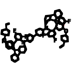 C=Cc1ccc(Oc2ccc3c(c2)-c2cc(F)cc(F)c2N(c2ccc(-c4ccc(N5c6ccc7c(c6)C(c6ccc(F)cc6)(c6ccccc6-7)c6ccc(Oc7ccc(C=C)cc7)cc6-c6cc(F)cc(F)c65)cc4)cc2)c2ccc4c(c2)C3(c2ccc(F)cc2)c2ccccc2-4)cc1